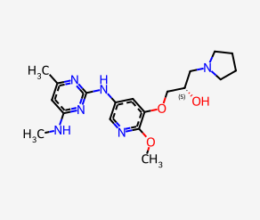 CNc1cc(C)nc(Nc2cnc(OC)c(OC[C@@H](O)CN3CCCC3)c2)n1